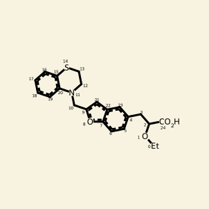 CCOC(Cc1ccc2oc(CN3CCSc4ccccc43)cc2c1)C(=O)O